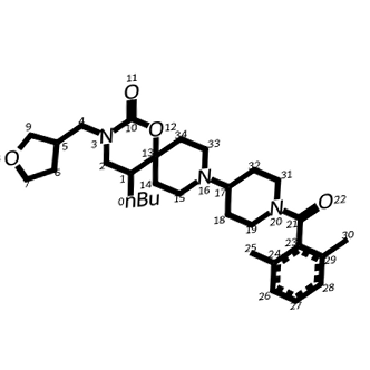 CCCCC1CN(CC2CCOC2)C(=O)OC12CCN(C1CCN(C(=O)c3c(C)cccc3C)CC1)CC2